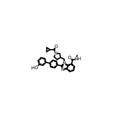 CNC(=O)c1cccc2nc(-c3ccc(-c4cccc(O)c4)cc3)n(CC3CCN(C(=O)C4CC4)C3)c12